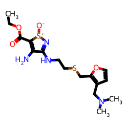 CCOC(=O)c1c(N)c(NCCSCc2occc2CN(C)C)n[s+]1[O-]